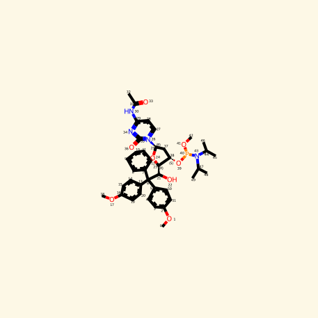 COc1ccc(C(c2ccccc2)(c2ccc(OC)cc2)C(O)[C@H]2O[C@@H](n3ccc(NC(C)=O)nc3=O)C[C@@H]2OP(OC)N(C(C)C)C(C)C)cc1